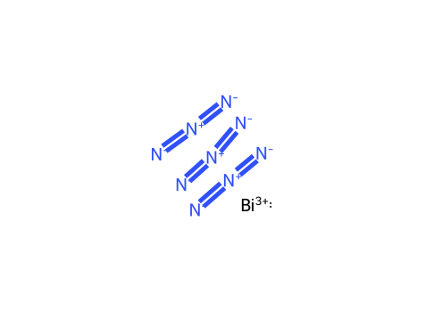 [Bi+3].[N-]=[N+]=[N-].[N-]=[N+]=[N-].[N-]=[N+]=[N-]